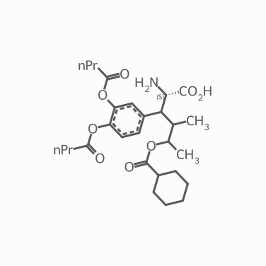 CCCC(=O)Oc1ccc(C(C(C)C(C)OC(=O)C2CCCCC2)[C@H](N)C(=O)O)cc1OC(=O)CCC